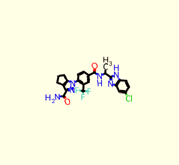 CC(NC(=O)c1ccc(-n2nc(C(N)=O)c3c2CCC3)c(C(F)(F)F)c1)c1nc2cc(Cl)ccc2[nH]1